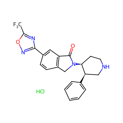 Cl.O=C1c2cc(-c3noc(C(F)(F)F)n3)ccc2CN1[C@H]1CCNC[C@H]1c1ccccc1